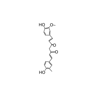 COc1cc(C=CC(=O)CC(=O)C=Cc2ccc(O)c(C)c2)ccc1O